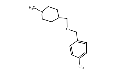 CN1CCC(COCc2ccc(C(F)(F)F)cc2)CC1